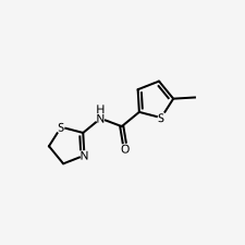 Cc1ccc(C(=O)NC2=NCCS2)s1